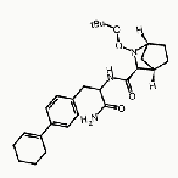 CC(C)(C)OON1[C@@H]2CC[C@@H](C2)[C@H]1C(=O)NC(Cc1ccc(C2=CCCCC2)cc1)C(N)=O